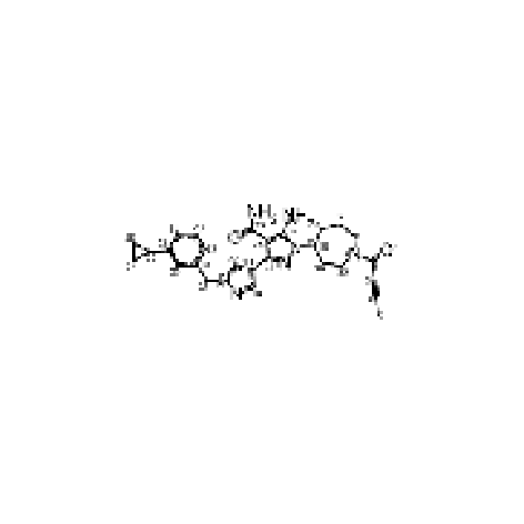 CC#CC(=O)N1CCC[C@H](n2nc(-c3cnn(Cc4cccc(C5CC5)c4)c3)c(C(N)=O)c2N)CC1